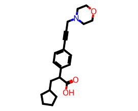 O=C(O)C(CC1CCCC1)c1ccc(C#CCN2CCOCC2)cc1